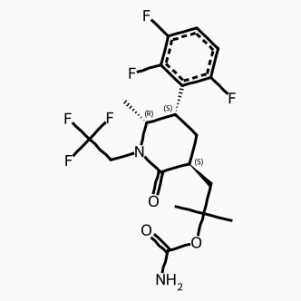 C[C@@H]1[C@H](c2c(F)ccc(F)c2F)C[C@@H](CC(C)(C)OC(N)=O)C(=O)N1CC(F)(F)F